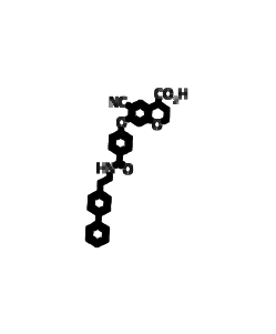 N#Cc1cc2c(cc1Oc1ccc(C(=O)NCCc3ccc(-c4ccccc4)cc3)cc1)OCCC2C(=O)O